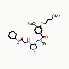 COCCCOc1cc(C(=O)N(C[C@@H]2CNC[C@H]2NCC(=O)NC2CCCCC2)C(C)C)ccc1OC